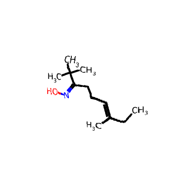 CCC(C)=CCCC(=NO)C(C)(C)C